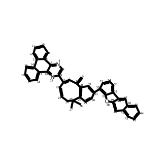 C=C1/C=C(c2cnc3c4ccccc4c4ccccc4c3n2)\C=C/CC(C)(C)c2ccc(-c3cccc4c3oc3cc5ccccc5cc34)cc21